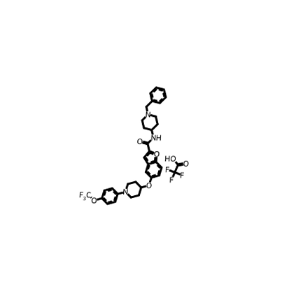 O=C(NC1CCN(Cc2ccccc2)CC1)c1cc2cc(OC3CCN(c4ccc(OC(F)(F)F)cc4)CC3)ccc2o1.O=C(O)C(F)(F)F